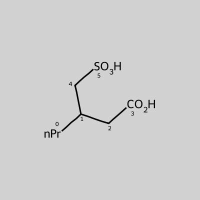 CCCC(CC(=O)O)CS(=O)(=O)O